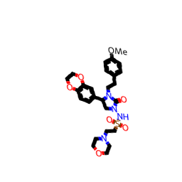 COc1ccc(CCN2C(=O)N(NS(=O)(=O)CCN3CCOCC3)CC2c2ccc3c(c2)OCCO3)cc1